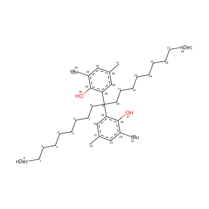 CCCCCCCCCCCCCCCCCCC(CCCCCCCCCCCCCCCCCC)(c1cc(C)cc(C(C)(C)C)c1O)c1cc(C)cc(C(C)(C)C)c1O